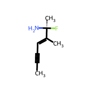 CC#C/C=C(\C)[C@@](C)(N)F